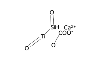 O=C([O-])[O-].O=[SiH][Ti]=[O].[Ca+2]